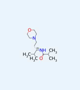 CC(C)C(=O)N[C@@H](CCN1CCOCC1)C(C)C